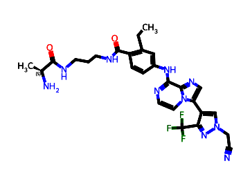 CCc1cc(Nc2nccn3c(-c4cn(CC#N)nc4C(F)(F)F)cnc23)ccc1C(=O)NCCCNC(=O)[C@H](C)N